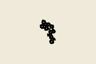 CC1(C)c2ccccc2-c2cc3c(cc21)-c1ccc(N(c2ccc4c(c2)C2(c5ccccc5-c5ccccc52)c2ccccc2-4)c2ccccc2-c2ccccc2)cc1C3(C)C